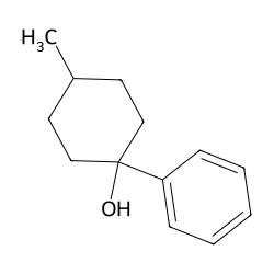 CC1CCC(O)(c2ccccc2)CC1